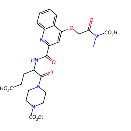 CCOC(=O)N1CCN(C(=O)C(CCC(=O)O)NC(=O)c2cc(OCC(=O)N(C)C(=O)O)c3ccccc3n2)CC1